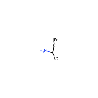 [CH2]CC(N)CC(C)C